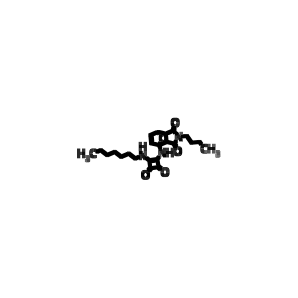 CCCCCCCNc1c(NC23C=CC(O2)C2C(=O)N(CCCC)C(=O)C23)c(=O)c1=O